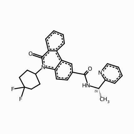 C[C@H](NC(=O)c1ccc2c(c1)c1ccccc1c(=O)n2C1CCC(F)(F)CC1)c1ccccn1